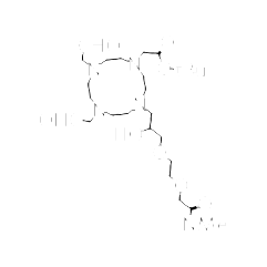 CNC(=O)COCCOCC(O)CN1CCN(CC=O)CCN(CC=O)CCN(CC(=O)OC(C)(C)C)CC1